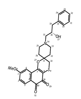 COc1ccc2c(c1)C1=C(SCC3(CCN(C[C@@H](O)Cc4ccccc4)CC3)O1)C(=O)C2=O